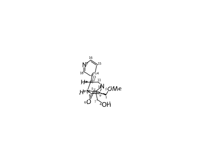 COC[C@@]1(CO)C(=O)[C@H]2CCN1C[C@H]2c1cccnc1